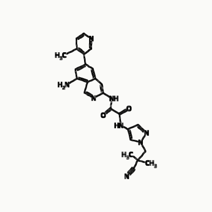 Cc1ccncc1-c1cc(N)c2cnc(NC(=O)C(=O)Nc3cnn(CC(C)(C)C#N)c3)cc2c1